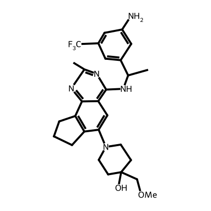 COCC1(O)CCN(c2cc3c(NC(C)c4cc(N)cc(C(F)(F)F)c4)nc(C)nc3c3c2CCC3)CC1